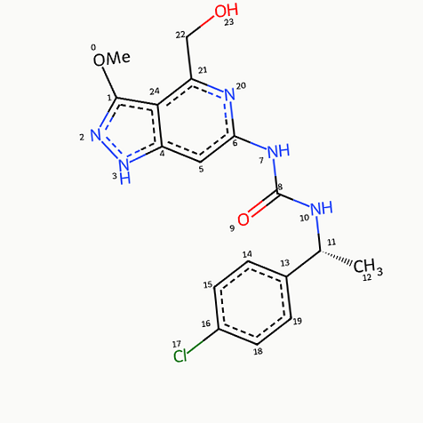 COc1n[nH]c2cc(NC(=O)N[C@H](C)c3ccc(Cl)cc3)nc(CO)c12